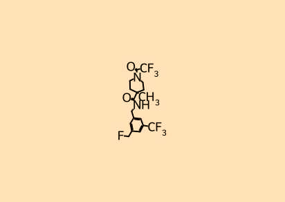 CC1(C(=O)NCc2cc(CF)cc(C(F)(F)F)c2)CCN(C(=O)C(F)(F)F)CC1